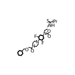 CC(C)C(=S)NC[C@H]1CN(c2cc(F)c(N3CCN(C(=O)COCc4ccccc4)CC3)c(F)c2)C(=O)O1